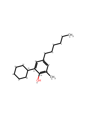 CCCCCCc1cc(C)c(O)c(C2CCCCC2)c1